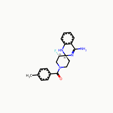 Cc1ccc(C(=O)N2CC[C@@]3(N=C(N)c4ccccc4N3)[C@@H](F)C2)cc1